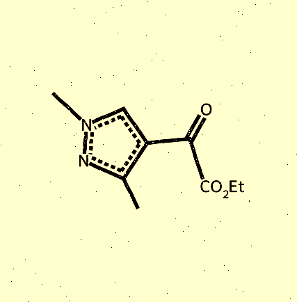 CCOC(=O)C(=O)c1cn(C)nc1C